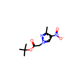 Cc1nn(CC(=O)OC(C)(C)C)cc1[N+](=O)[O-]